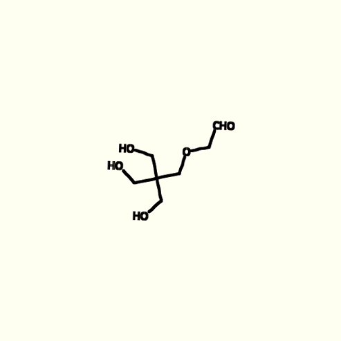 O=CCOCC(CO)(CO)CO